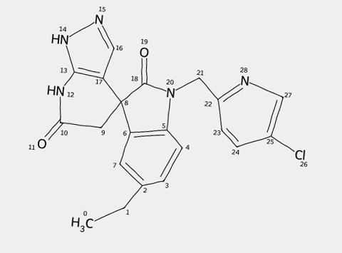 CCc1ccc2c(c1)C1(CC(=O)Nc3[nH]ncc31)C(=O)N2Cc1ccc(Cl)cn1